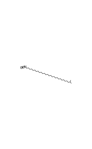 CC(C)CCCCCCCCCCCCCCCCCCCCCCCCCCCN=C=O